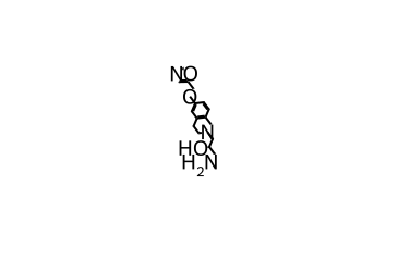 NC[C@H](O)CN1CCc2cc(OCc3cnco3)ccc2C1